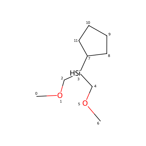 COC[SiH](COC)C1CCCC1